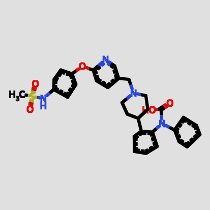 CS(=O)(=O)Nc1ccc(Oc2ccc(CN3CCC(c4ccccc4N(C(=O)O)c4ccccc4)CC3)cn2)cc1